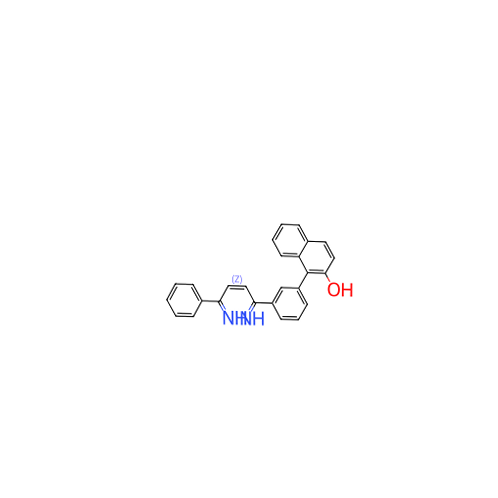 N=C(/C=C\C(=N)c1cccc(-c2c(O)ccc3ccccc23)c1)c1ccccc1